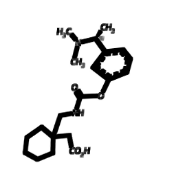 C[C@@H](c1cccc(OC(=O)NCC2(CC(=O)O)CCCCC2)c1)N(C)C